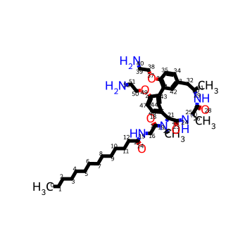 CCCCCCCCCCCCCC(=O)NCC(=O)N(C)C1C(=O)N[C@@H](C)C(=O)NC(C)Cc2ccc(OCCN)c(c2)-c2cc1ccc2OCCN